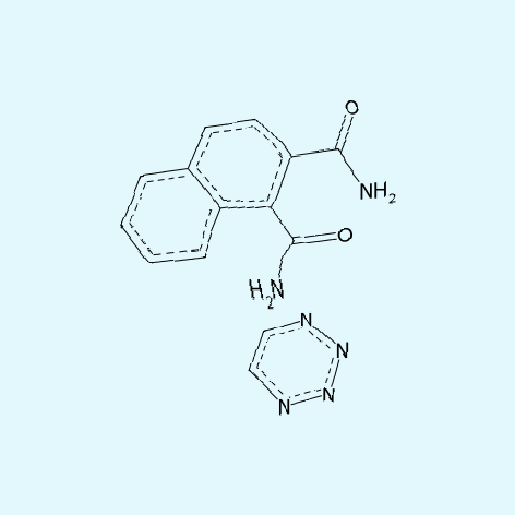 NC(=O)c1ccc2ccccc2c1C(N)=O.c1cnnnn1